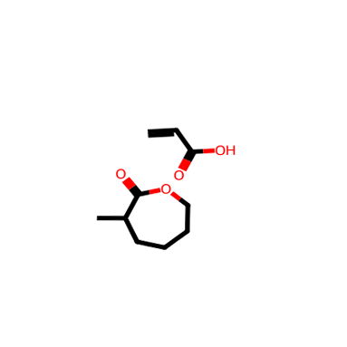 C=CC(=O)O.CC1CCCCOC1=O